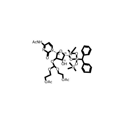 CC(=O)Nc1ccn([C@@H]2O[C@H](CO[Si](O[Si](C)(C)C)(O[Si](C)(C)C)C(c3ccccc3)c3ccccc3)[C@H](O)C2OC(OCCOC(C)=O)OCCOC(C)=O)c(=O)n1